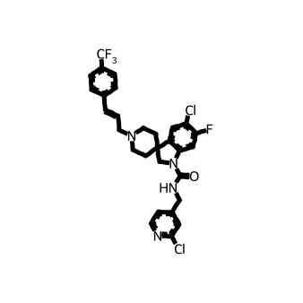 O=C(NCc1ccnc(Cl)c1)N1CC2(CCN(CC=Cc3ccc(C(F)(F)F)cc3)CC2)c2cc(Cl)c(F)cc21